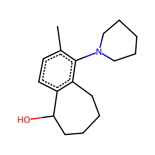 Cc1ccc2c(c1N1CCCCC1)CCCCC2O